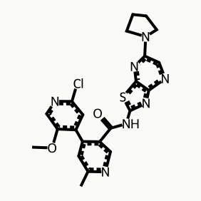 COc1cnc(Cl)cc1-c1cc(C)ncc1C(=O)Nc1nc2ncc(N3CCCC3)nc2s1